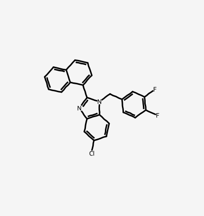 Fc1ccc(Cn2c(-c3cccc4ccccc34)nc3cc(Cl)ccc32)cc1F